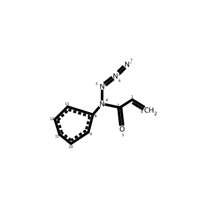 C=CC(=O)N(N=[N+]=[N-])c1ccccc1